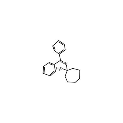 CC1([15N]=C(c2ccccc2)c2ccccc2)CCCCCC1